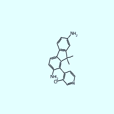 CC1(C)c2cc(N)ccc2-c2ccc(N)c(-c3ccncc3Cl)c21